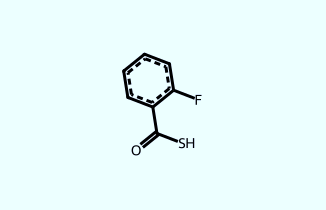 O=C(S)c1ccccc1F